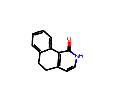 O=c1[nH]ccc2c1-c1ccccc1CC2